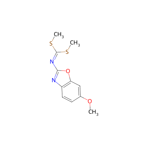 COc1ccc2nc(N=C(SC)SC)oc2c1